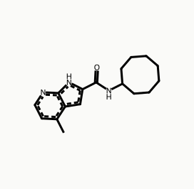 Cc1ccnc2[nH]c(C(=O)NC3CCCCCCC3)cc12